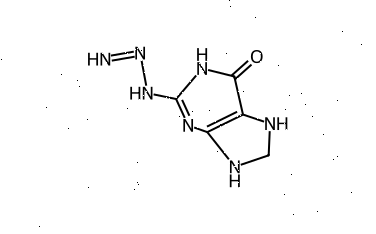 N=NNc1nc2c(c(=O)[nH]1)NCN2